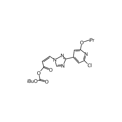 CC(C)COC(=O)OC(=O)/C=C\n1cnc(-c2cc(Cl)nc(OC(C)C)c2)n1